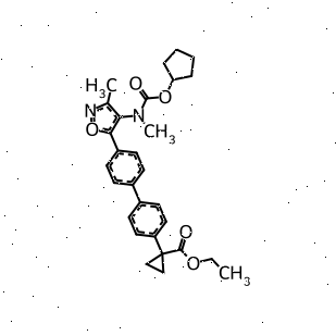 CCOC(=O)C1(c2ccc(-c3ccc(-c4onc(C)c4N(C)C(=O)OC4CCCC4)cc3)cc2)CC1